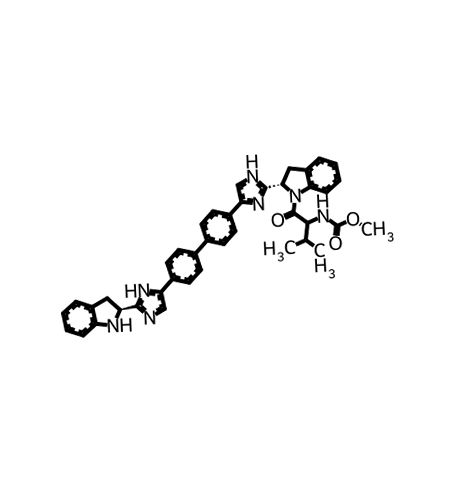 COC(=O)NC(C(=O)N1c2ccccc2C[C@H]1c1nc(-c2ccc(-c3ccc(-c4cnc([C@@H]5Cc6ccccc6N5)[nH]4)cc3)cc2)c[nH]1)C(C)C